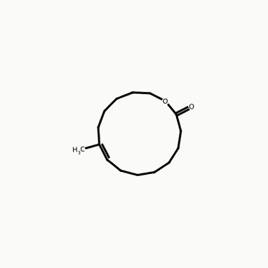 CC1=CCCCCCCC(=O)OCCCCC1